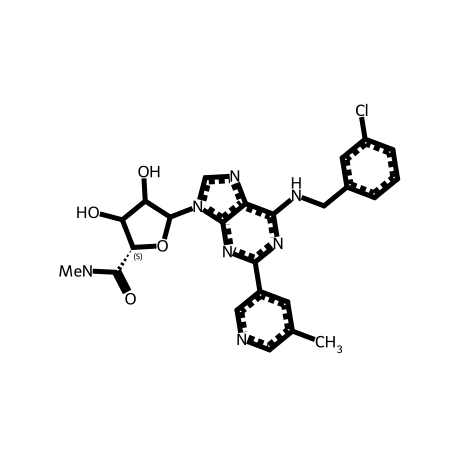 CNC(=O)[C@H]1OC(n2cnc3c(NCc4cccc(Cl)c4)nc(-c4cncc(C)c4)nc32)C(O)C1O